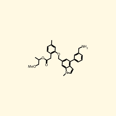 COCC(C)OC(=O)Cc1ccc(C)cc1OCc1cc(-c2cccc(CN)c2)c2ccn(C)c2c1